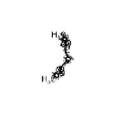 Cc1ccc(S(=O)(=O)OCC#Cc2cccc(C#CCOS(=O)(=O)c3ccc(C)cc3)c2)cc1